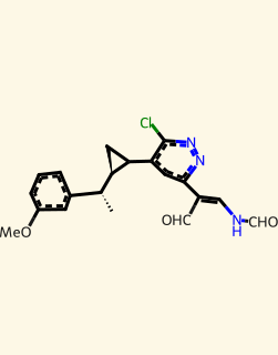 COc1cccc([C@@H](C)[C@H]2CC2c2cc(/C(C=O)=C/NC=O)nnc2Cl)c1